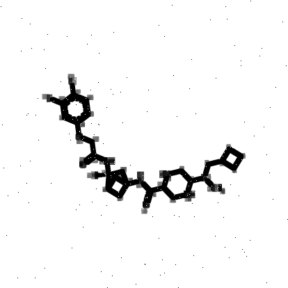 CN(CC1CCC1)C1CNC(C(=O)NC23CC(C2)[C@@H](NC(=O)COc2ccc(Cl)c(F)c2)C3)CN1